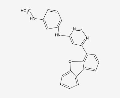 O=C(O)Nc1cccc(Nc2cc(-c3cccc4c3oc3ccccc34)ncn2)c1